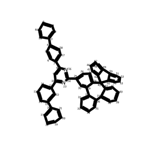 c1ccc(-c2ccc(-c3cc(-c4cccc(-c5ccccc5)c4)nc(-c4ccc5c(c4)-c4ccccc4-c4ccccc4C54c5ccccc5-c5ccccc54)n3)cc2)cc1